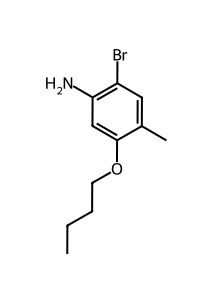 CCCCOc1cc(N)c(Br)cc1C